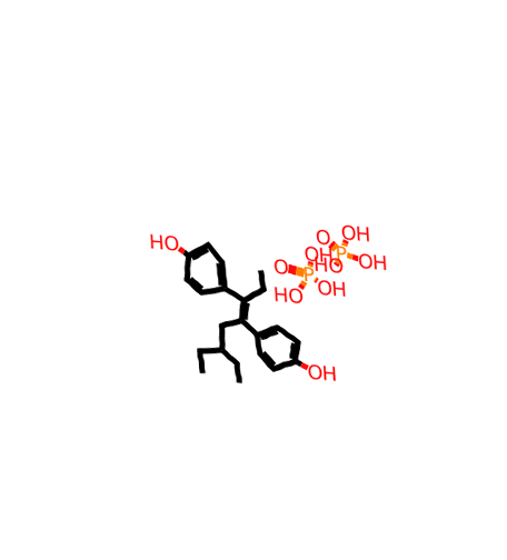 CC/C(=C(/CC(CC)CC)c1ccc(O)cc1)c1ccc(O)cc1.O=P(O)(O)O.O=P(O)(O)O